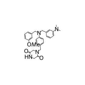 COc1cccc(CN(Cc2cccc(N(C)C)c2)c2ccc(CN3CC(=O)NCC3=O)cc2)c1